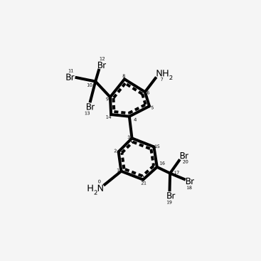 Nc1cc(-c2cc(N)cc(C(Br)(Br)Br)c2)cc(C(Br)(Br)Br)c1